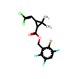 CC1(C)C(C=C(Cl)Cl)C1C(=O)OCc1c(F)c(F)cc(F)c1Br